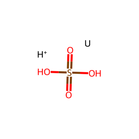 O=S(=O)(O)O.[H+].[U]